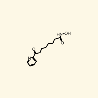 O=C(CCCCCCC(=O)c1ccccn1)NO